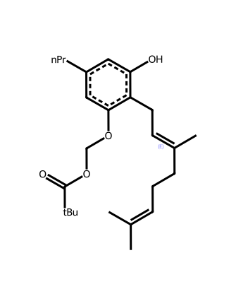 CCCc1cc(O)c(C/C=C(\C)CCC=C(C)C)c(OCOC(=O)C(C)(C)C)c1